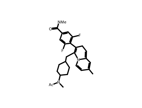 CNC(=O)c1cc(F)c(C2=C(CC3CCC(N(C)C(C)=O)CC3)N3C=CC(C)=CC3=CC2)c(F)c1